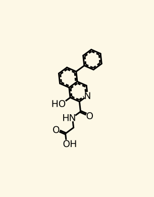 O=C(O)CNC(=O)c1ncc2c(-c3ccccc3)cccc2c1O